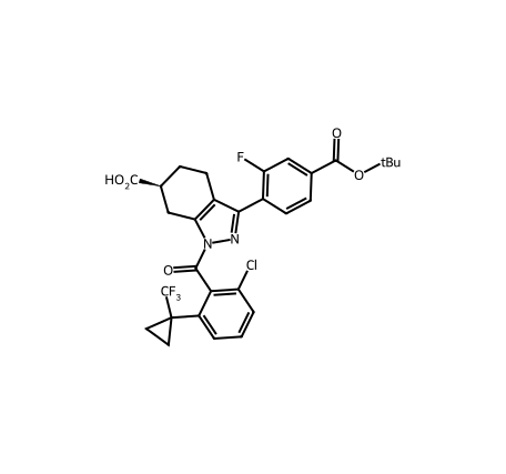 CC(C)(C)OC(=O)c1ccc(-c2nn(C(=O)c3c(Cl)cccc3C3(C(F)(F)F)CC3)c3c2CC[C@H](C(=O)O)C3)c(F)c1